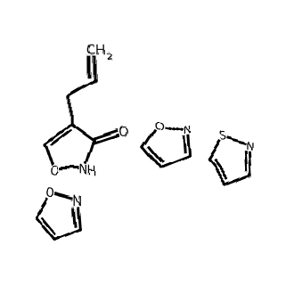 C=CCc1co[nH]c1=O.c1cnoc1.c1cnoc1.c1cnsc1